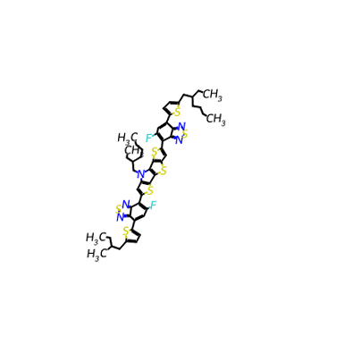 CCCCC(CC)Cc1ccc(-c2cc(F)c(-c3cc4sc5c6sc(-c7c(F)cc(-c8ccc(CC(C)CC)s8)c8nsnc78)cc6n(CC(CC)CCCC)c5c4s3)c3nsnc23)s1